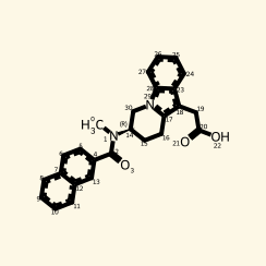 CN(C(=O)c1ccc2ccccc2c1)[C@@H]1CCc2c(CC(=O)O)c3ccccc3n2C1